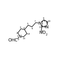 O=CN1CCC(CCCn2ccnc2[N+](=O)[O-])CC1